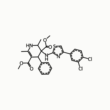 COC(=O)C1=C(C)NC(C)C(Nc2nc(-c3ccc(Cl)c(Cl)c3)cs2)(C(=O)OC)C1c1ccccc1